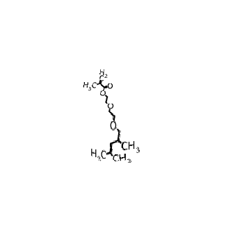 C=C(C)C(=O)OCCOCCOCC(C)C=C(C)C